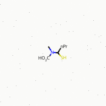 CCCC(S)N(C)C(=O)O